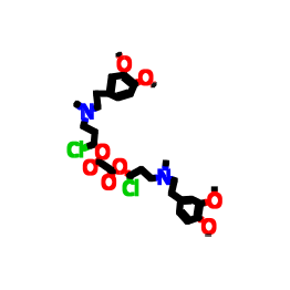 COc1ccc(CCN(C)CCC(Cl)OC(=O)C(=O)OC(Cl)CCN(C)CCc2ccc(OC)c(OC)c2)cc1OC